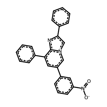 O=[N+]([O-])c1cccc(-c2cc(-c3ccccc3)c3nc(-c4ccccc4)cn3c2)c1